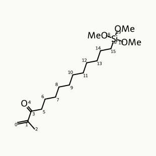 C=C(C)C(=O)CCCCCCCCCCC[Si](OC)(OC)OC